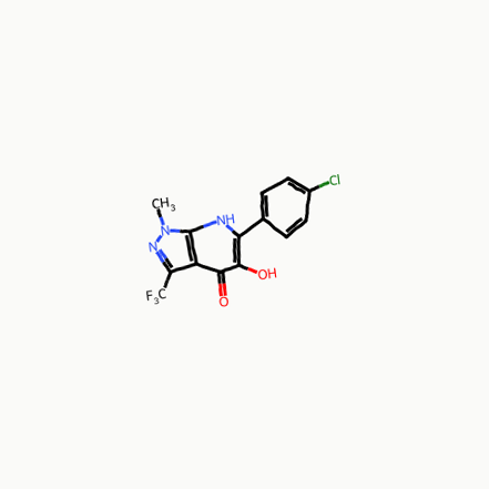 Cn1nc(C(F)(F)F)c2c(=O)c(O)c(-c3ccc(Cl)cc3)[nH]c21